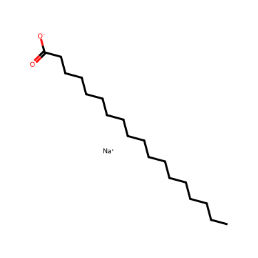 CCCCCCCCCCCCCCCCCC(=O)[O-].[Na+]